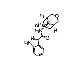 CCCCCCN1[C@@H]2COC[C@H]1C[C@@H](NC(=O)c1n[nH]c3ccccc13)C2